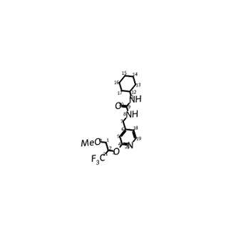 COCC(Oc1cc(CNC(=O)NC2CCCCC2)ccn1)C(F)(F)F